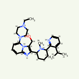 CCN1CCN(c2cccc3nc(C4CCCC(c5ncccc5C(C)C)N4C)c(CO)n23)CC1